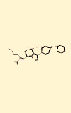 CCCC/C(=C\c1cnc(N)c2c(-c3ccc(Oc4ccccc4)cc3)csc12)C(=O)O